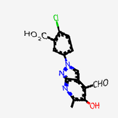 Cc1nc2nn(-c3ccc(Cl)c(C(=O)O)c3)cc2c(C=O)c1O